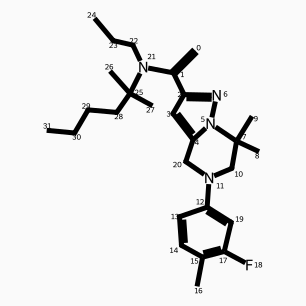 C=C(c1cc2n(n1)C(C)(C)CN(c1ccc(C)c(F)c1)C2)N(CCC)C(C)(C)CCCC